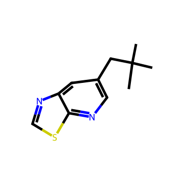 CC(C)(C)Cc1cnc2scnc2c1